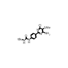 CSc1c(N)nc(-c2ccc(NC(=O)NC(C)(C)C)cc2)nc1Cl